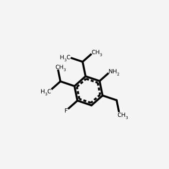 CCc1cc(F)c(C(C)C)c(C(C)C)c1N